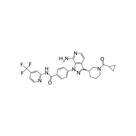 Nc1nccc2c([C@@H]3CCCN(C(=O)C4CC4)C3)nn(-c3ccc(C(=O)Nc4cc(C(F)(F)F)ccn4)cc3)c12